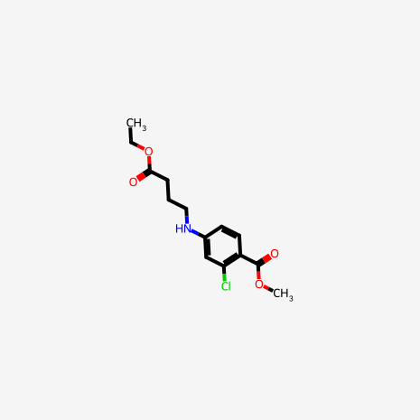 CCOC(=O)CCCNc1ccc(C(=O)OC)c(Cl)c1